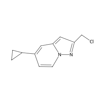 ClCc1cc2cc(C3CC3)ccn2n1